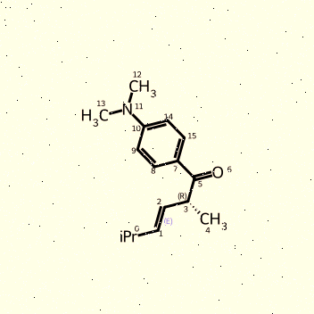 CC(C)/C=C/[C@@H](C)C(=O)c1ccc(N(C)C)cc1